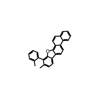 Cc1ccccc1-c1c(C)ccc2c1oc1c2ccc2c3ccccc3ccc21